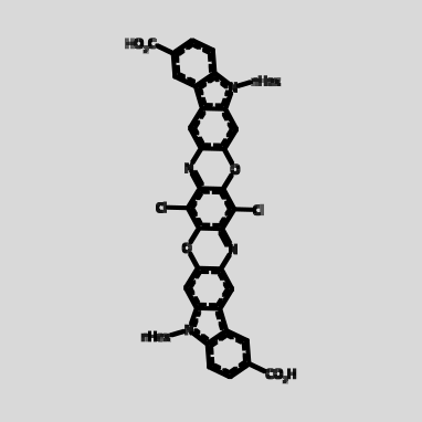 CCCCCCn1c2ccc(C(=O)O)cc2c2cc3c(cc21)Oc1c(Cl)c2c(c(Cl)c1=N3)Oc1cc3c(cc1N=2)c1cc(C(=O)O)ccc1n3CCCCCC